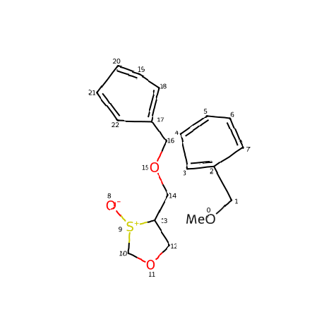 COCc1ccccc1.[O-][S+]1COCC1COCc1ccccc1